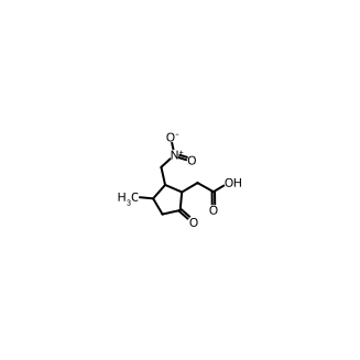 CC1CC(=O)C(CC(=O)O)C1C[N+](=O)[O-]